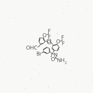 NC1=NC(c2cccc(Br)c2)(c2ccc(OC(F)F)c(Cl)c2)CO1.O=CCc1ccc(OC(F)F)c(Cl)c1